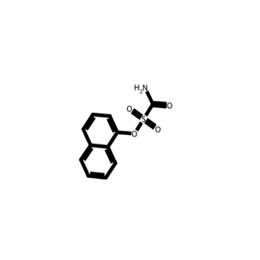 NC(=O)S(=O)(=O)Oc1cccc2ccccc12